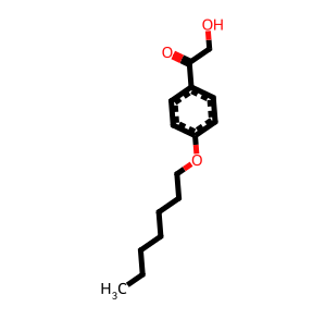 CCCCCCCOc1ccc(C(=O)CO)cc1